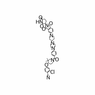 CC1(C)CN(C(=O)c2ccc(N3CCN(C4CCN(c5ccc6c(c5)C(=O)N(C5CCC(=O)NC5=O)C6=O)CC4)CC3)cc2)CCC1Oc1ccc(C#N)c(Cl)c1